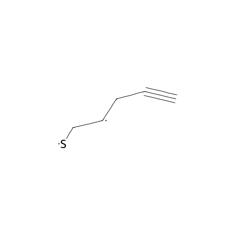 C#CC[CH]C[S]